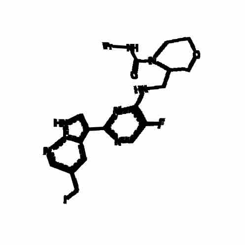 CC(C)NC(=O)N1CCOCC1CNc1nc(-c2c[nH]c3ncc(CI)cc23)ncc1F